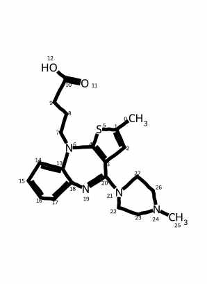 Cc1cc2c(s1)N(CCCC(=O)O)c1ccccc1N=C2N1CCN(C)CC1